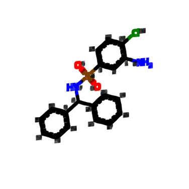 Nc1cc(S(=O)(=O)NC(c2ccccc2)c2ccccc2)ccc1Cl